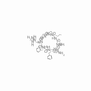 CCCC[C@@H]1NC(=O)[C@H](CO)NC(=O)[C@H](CC(N)=O)NC(=O)[C@H](CCc2ccccc2)NC(=O)[C@H](Cc2ccccc2)NC(=O)[C@H](CCCNC(=N)N)NC(=O)[C@@H]2CCCN2C(=O)[C@H]2CCCN2C1=O